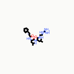 CC(C)CC(NC(=O)/C=C/c1ccccc1)C(=O)NC(CC(C)C)C(=O)NCCNC(=N)N